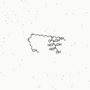 CCCCC/C=C\C/C=C\CCCCCCCCN(CCCN)C(=O)[C@H](O)[C@@H](O)[C@H](O)[C@H](O)CO